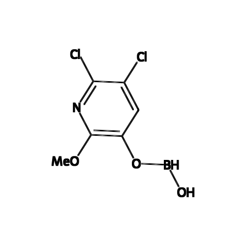 COc1nc(Cl)c(Cl)cc1OBO